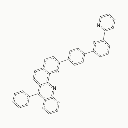 c1ccc(-c2c3ccccc3nc3c2ccc2ccc(-c4ccc(-c5cccc(-c6ccccn6)n5)cc4)nc23)cc1